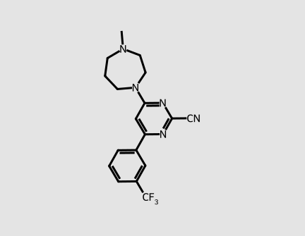 CN1CCCN(c2cc(-c3cccc(C(F)(F)F)c3)nc(C#N)n2)CC1